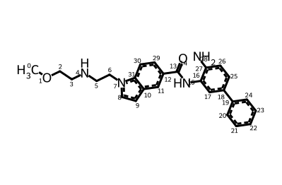 COCCNCCn1ccc2cc(C(=O)Nc3cc(-c4ccccc4)ccc3N)ccc21